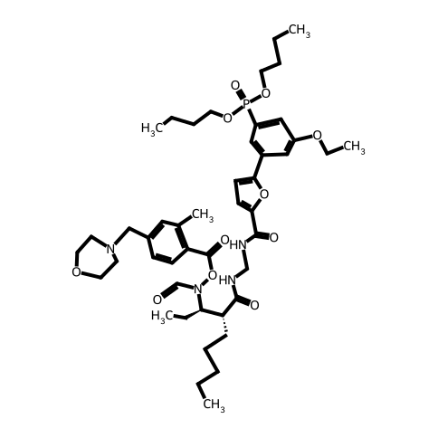 CCCCC[C@@H](C(=O)NCNC(=O)c1ccc(-c2cc(OCC)cc(P(=O)(OCCCC)OCCCC)c2)o1)[C@@H](CC)N(C=O)OC(=O)c1ccc(CN2CCOCC2)cc1C